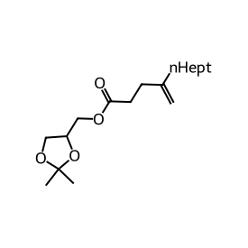 C=C(CCCCCCC)CCC(=O)OCC1COC(C)(C)O1